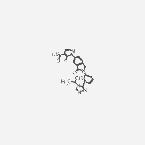 CC(C)n1cnnc1-c1cccc(N2Cc3ccc(-c4nccc(C(=O)O)c4F)cc3C2=O)n1